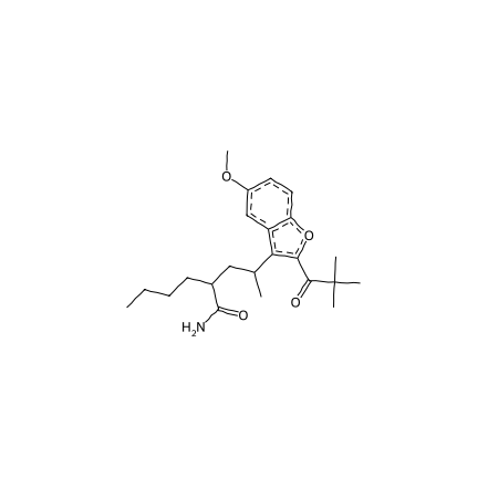 CCCCC(CC(C)c1c(C(=O)C(C)(C)C)oc2ccc(OC)cc12)C(N)=O